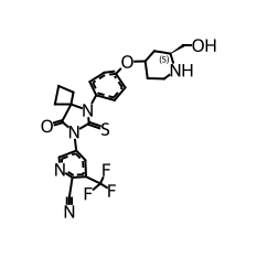 N#Cc1ncc(N2C(=O)C3(CCC3)N(c3ccc(OC4CCN[C@H](CO)C4)cc3)C2=S)cc1C(F)(F)F